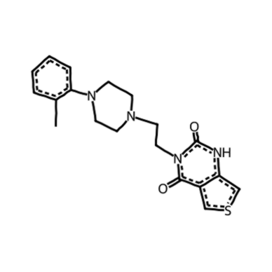 Cc1ccccc1N1CCN(CCn2c(=O)[nH]c3cscc3c2=O)CC1